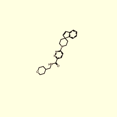 O=C(NCC1CCOCC1)c1ccc(N2CCC3(C=Cc4ccccc43)CC2)nn1